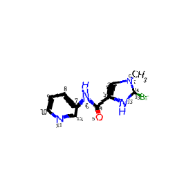 CN1C=C(C(=O)Nc2cccnc2)NC1Br